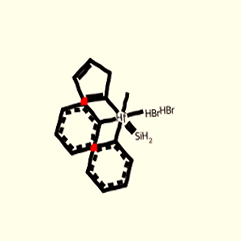 Br.Br.[CH3][Hf]([CH3])(=[SiH2])([C]1=CC=CC1)([c]1ccccc1)[c]1ccccc1